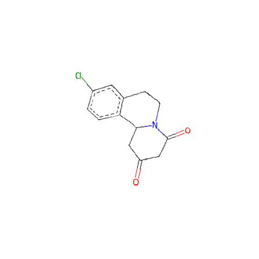 O=C1CC(=O)N2CCc3cc(Cl)ccc3C2C1